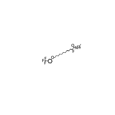 CC(C)CNC(=O)C(F)=CC=CCCCCCCCOc1cccc(C(F)(F)F)c1